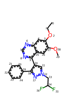 CCOc1cc2ncnc(-c3cn(CC(F)F)nc3-c3ccccc3)c2cc1OC